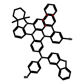 CC(C)(C)c1ccc(N(c2ccc3c(c2)N(c2ccc(C(C)(C)C)cc2-c2ccccc2)c2cc(-c4ccccc4)cc4c2B3c2cccc3c2N4C2(C)CCCCC32C)c2ccc3sc4ccccc4c3c2)cc1